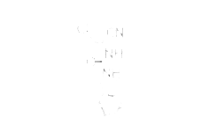 N#CC(CCl)NC(=O)NCc1ccccc1